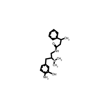 CC(CC(=O)NCC(Cc1ccc(N)c(O)c1)N(C)C)c1ccccc1